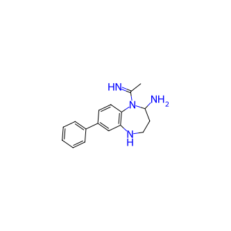 CC(=N)N1c2ccc(-c3ccccc3)cc2NCCC1N